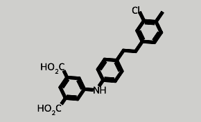 Cc1ccc(CCc2ccc(Nc3cc(C(=O)O)cc(C(=O)O)c3)cc2)cc1Cl